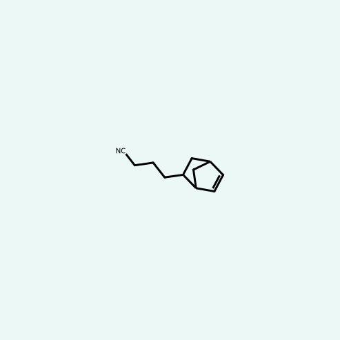 N#CCCCC1CC2C=CC1C2